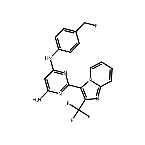 Nc1cc(Nc2ccc(CF)cc2)nc(-c2c(C(F)(F)F)nc3ccccn23)n1